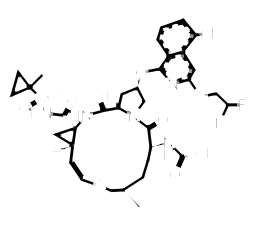 C[C@H]1CC/C=C\[C@@H]2C[C@@]2(C(=O)NS(=O)(=O)C2(C)CC2)NC(=O)[C@@H]2C[C@@H](Oc3nc(OCC(F)F)cc4c(Cl)cccc34)CN2C(=O)[C@@H](NC(=O)O)[C@H](C)C1